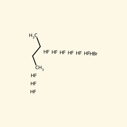 Br.CCCC.F.F.F.F.F.F.F.F.F